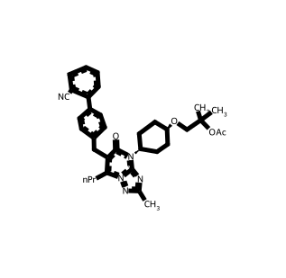 CCCc1c(Cc2ccc(-c3ccccc3C#N)cc2)c(=O)n([C@H]2CC[C@H](OCC(C)(C)OC(C)=O)CC2)c2nc(C)nn12